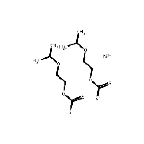 CC(C)OCCOC(=S)[S-].CC(C)OCCOC(=S)[S-].[Ni+2]